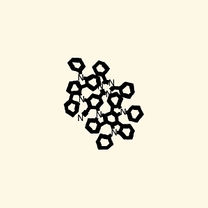 N#Cc1c(-n2c3ccccc3c3ccc4c(c5ccccc5n4-c4ccccc4)c32)cc(-c2nc(C3=CCCC=C3)nc(-c3ccccc3)n2)cc1-n1c2ccccc2c2c3c(c4ccccc4n3C3=CC=CCC3)c3c(c4ccccc4n3-c3ccccc3)c21